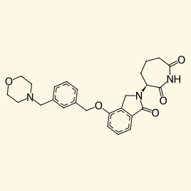 O=C1CCC[C@H](N2Cc3c(OCc4cccc(CN5CCOCC5)c4)cccc3C2=O)C(=O)N1